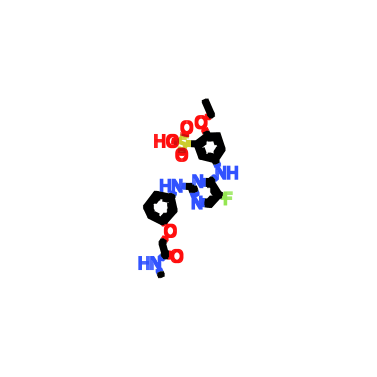 CCOc1ccc(Nc2nc(Nc3cccc(OCC(=O)NC)c3)ncc2F)cc1S(=O)(=O)O